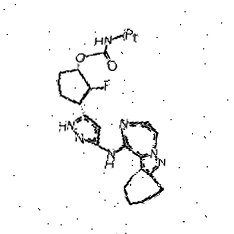 CC(C)NC(=O)O[C@H]1CC[C@@H](c2cc(Nc3nccn4nc5c(c34)CCCC5)n[nH]2)[C@@H]1F